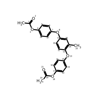 CC(=O)Oc1ccc(Oc2ccc(Oc3ccc(OC(C)=O)cc3)c(C)c2)cc1